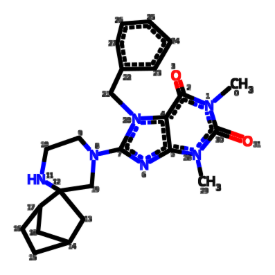 Cn1c(=O)c2c(nc(N3CCNC4(CC5CCC4C5)C3)n2Cc2ccccc2)n(C)c1=O